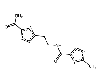 Cc1ccc(C(=O)NCCc2ccc(C(N)=O)s2)s1